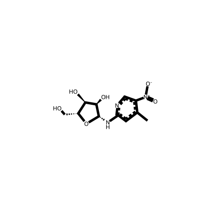 Cc1cc(N[C@@H]2O[C@H](CO)[C@@H](O)[C@H]2O)ncc1[N+](=O)[O-]